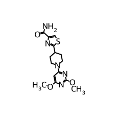 COc1cc(N2CCC(c3nc(C(N)=O)cs3)CC2)nc(OC)n1